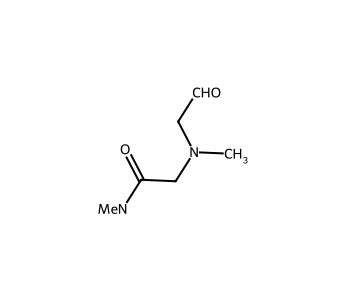 CNC(=O)CN(C)CC=O